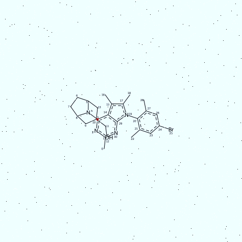 Cc1nc(N2C3CCC2CC(CO)C3)c2c(C)c(C)n(-c3c(C)cc(Br)cc3C)c2n1